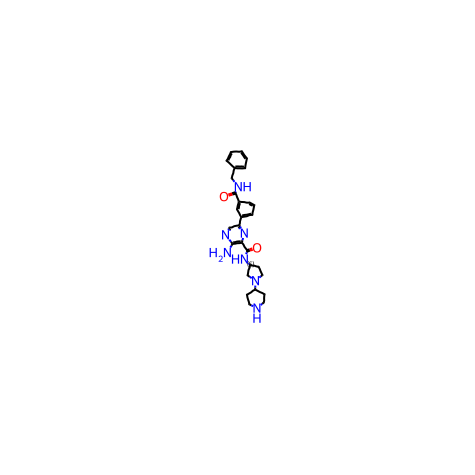 Nc1ncc(-c2cccc(C(=O)NCc3ccccc3)c2)nc1C(=O)N[C@H]1CCN(C2CCNCC2)C1